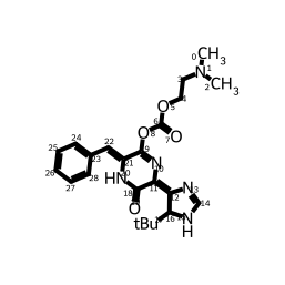 CN(C)CCOC(=O)Oc1n/c(=C2\N=CNC2C(C)(C)C)c(=O)[nH]/c1=C\c1ccccc1